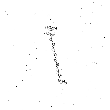 COCCOCCOCCOCCOCCOCCOCCOCCOCCNC(=O)C(CO)CO